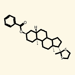 CC1([C@H]2CCC3C4CC[C@H]5C[C@H](OC(=O)c6ccccc6)CC[C@]5(C)C4CC[C@@]32C)SCCS1